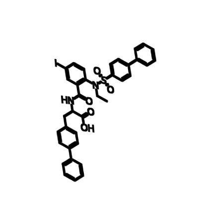 CCN(c1ccc(I)cc1C(=O)NC(Cc1ccc(-c2ccccc2)cc1)C(=O)O)S(=O)(=O)c1ccc(-c2ccccc2)cc1